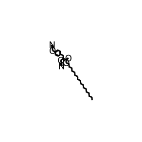 CCCCCCCCCCCCCCCCCCOC(=O)C(Cc1ccc(OC#N)cc1)OC#N